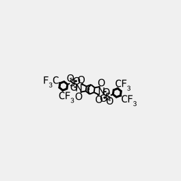 O=C1C2C3C=CC(C2C(=O)N1OS(=O)(=O)c1cc(C(F)(F)F)cc(C(F)(F)F)c1)C1C(=O)N(OS(=O)(=O)c2cc(C(F)(F)F)cc(C(F)(F)F)c2)C(=O)C31